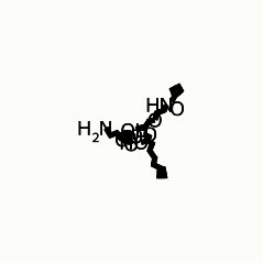 NCCOP(=O)(O)OCC(COCCNC(=O)C1CCC1)OC(O)CCCCC1CCC1